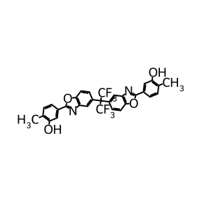 Cc1ccc(-c2nc3cc(C(c4ccc5oc(-c6ccc(C)c(O)c6)nc5c4)(C(F)(F)F)C(F)(F)F)ccc3o2)cc1O